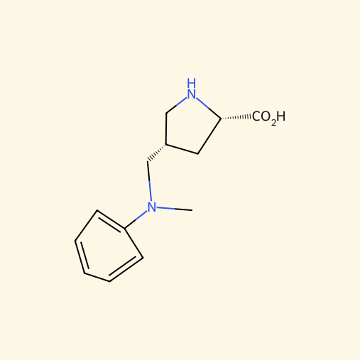 CN(C[C@@H]1CN[C@H](C(=O)O)C1)c1ccccc1